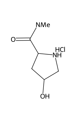 CNC(=O)C1CC(O)CN1.Cl